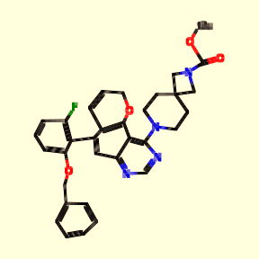 CC(C)(C)OC(=O)N1CC2(CCN(c3ncnc4cc(-c5c(F)cccc5OCc5ccccc5)c5c(c34)OCC=C5)CC2)C1